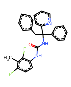 Cc1c(F)ccc(NC(=O)NC(Cc2ccccc2)(c2ccccc2)c2ccccn2)c1F